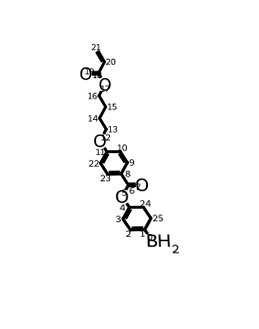 BC1=CC=C(OC(=O)c2ccc(OCCCCOC(=O)C=C)cc2)CC1